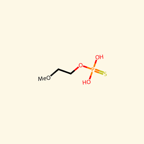 COCCOP(O)(O)=S